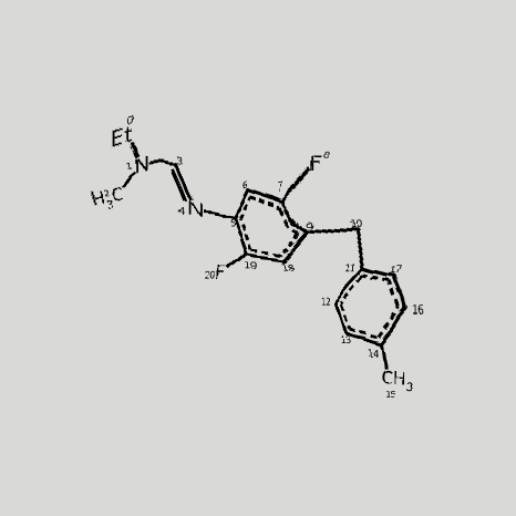 CCN(C)C=Nc1cc(F)c(Cc2ccc(C)cc2)cc1F